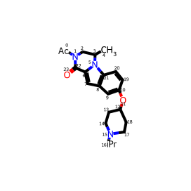 CC(=O)N1CC(C)n2c(cc3cc(OC4CCN(C(C)C)CC4)ccc32)C1=O